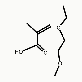 C=C(C)C(=O)O.CCOCCOC